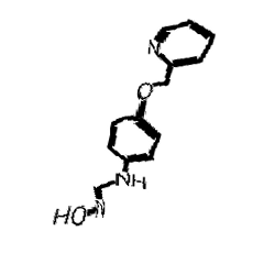 ON=CNc1ccc(OCc2ccccn2)cc1